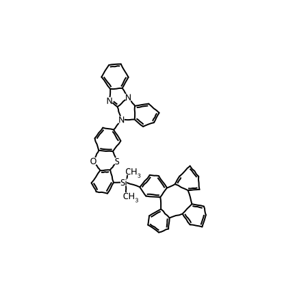 C[Si](C)(c1ccc2c(c1)-c1ccccc1-c1ccccc1-c1ccccc1-2)c1cccc2c1Sc1cc(-n3c4ccccc4n4c5ccccc5nc34)ccc1O2